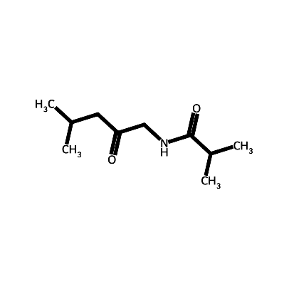 CC(C)CC(=O)CNC(=O)C(C)C